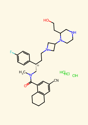 CN(C[C@@H](CCN1CC(N2CCNCC2CCO)C1)c1ccc(F)cc1)C(=O)c1cc(C#N)cc2c1CCCC2.Cl.Cl.Cl